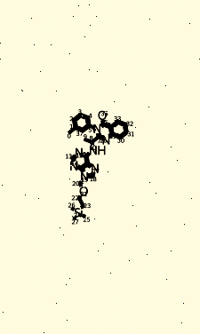 Cc1cccc(-n2c(C(C)Nc3ncnc4c3ncn4COCC[Si](C)(C)C)nc3ccccc3c2=O)c1